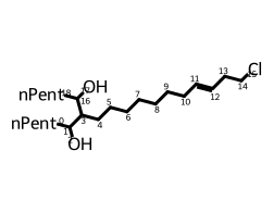 CCCCCC(O)C(CCCCCCC/C=C/CCCl)C(O)CCCCC